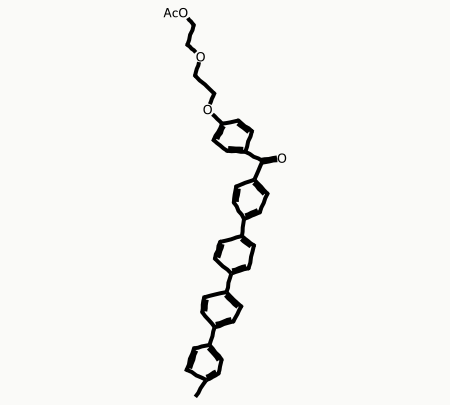 CC(=O)OCCOCCOc1ccc(C(=O)c2ccc(-c3ccc(-c4ccc(-c5ccc(C)cc5)cc4)cc3)cc2)cc1